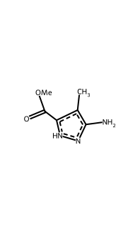 COC(=O)c1[nH]nc(N)c1C